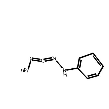 CCCN=C=NNc1ccccc1